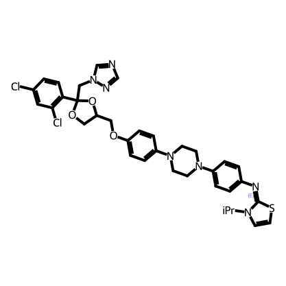 CC(C)n1ccs/c1=N/c1ccc(N2CCN(c3ccc(OCC4COC(Cn5cncn5)(c5ccc(Cl)cc5Cl)O4)cc3)CC2)cc1